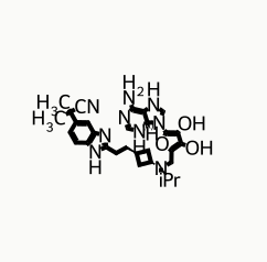 CC(C)N(Cc1oc(N2CNC3=C(N)N=CN[C@@H]32)c(O)c1O)[C@H]1C[C@H](CCc2nc3cc(C(C)(C)C#N)ccc3[nH]2)C1